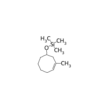 CC1=CCCCCC(O[Si](C)(C)C)C1